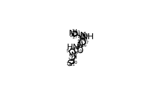 O=C(N[C@@H]1CCCN(Cc2ccsc2)C1)N1CCc2[nH]nc(-c3ccncc3)c2C1